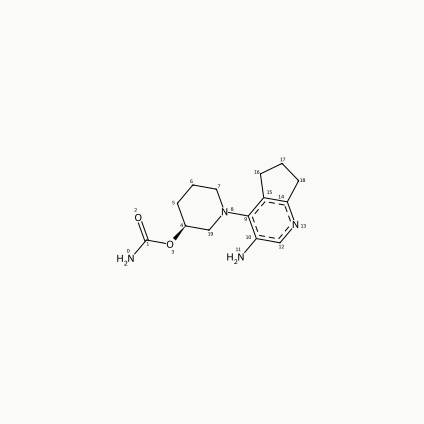 NC(=O)O[C@H]1CCCN(c2c(N)cnc3c2CCC3)C1